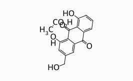 CC(=O)O.O=C1c2cccc(O)c2C(=O)c2c(O)cc(CO)cc21